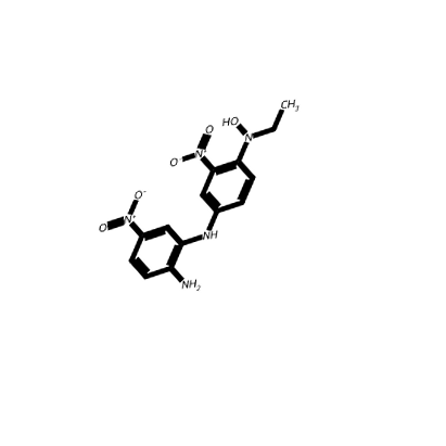 CCN(O)c1ccc(Nc2cc([N+](=O)[O-])ccc2N)cc1[N+](=O)[O-]